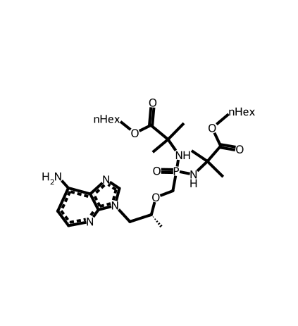 CCCCCCOC(=O)C(C)(C)NP(=O)(CO[C@H](C)Cn1cnc2c(N)ccnc21)NC(C)(C)C(=O)OCCCCCC